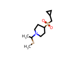 CSC(C)N1CCC(S(=O)(=O)CC2CC2)CC1